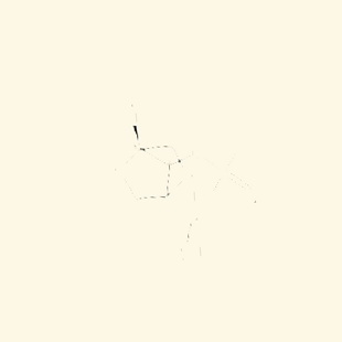 C[C@@H]1O[C@@]2(CO)CO[C@H]1C2OP(O)(O)=S